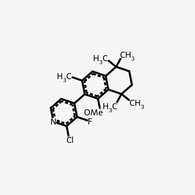 COc1c(-c2ccnc(Cl)c2F)c(C)cc2c1C(C)(C)CCC2(C)C